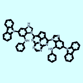 c1ccc(Nc2cc(-n3c4ccccc4c4ccccc43)cc3c2N(c2nc4ncnc5nc(-n6cnc7cc(-n8c9ccccc9c9ccccc98)cc(Nc8ccccc8)c76)c6ccc2c6n45)CN3)cc1